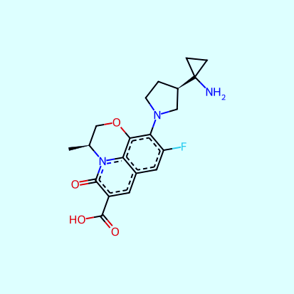 C[C@H]1COc2c(N3CC[C@@H](C4(N)CC4)C3)c(F)cc3cc(C(=O)O)c(=O)n1c23